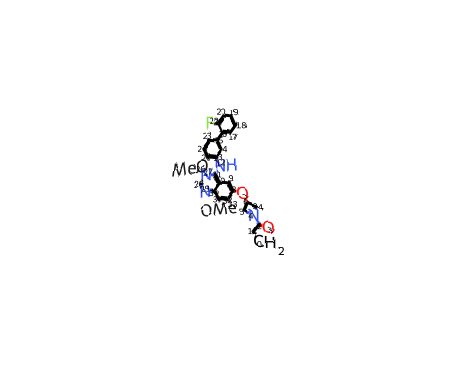 C=CC(=O)N1CC(Oc2cc3c(Nc4cc(-c5ccccc5F)ccc4OC)ncnc3cc2OC)C1